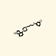 Clc1cccc(SCCCCN2CCN(c3cccc4[nH]ccc34)CC2)c1